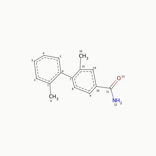 Cc1ccccc1-c1ccc(C(N)=O)cc1C